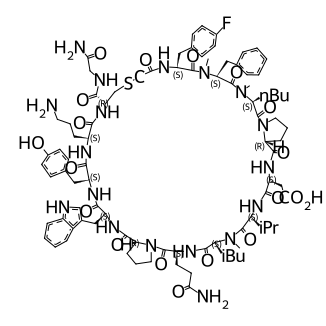 CCCC[C@H]1C(=O)N2CCC[C@@H]2C(=O)N[C@@H](CC(=O)O)C(=O)N[C@@H](C(C)C)C(=O)N(C)[C@@H](C(C)CC)C(=O)N[C@@H](CCC(N)=O)C(=O)N2CCC[C@@H]2C(=O)N[C@@H](Cc2c[nH]c3ccccc23)C(=O)N[C@@H](Cc2ccc(O)cc2)C(=O)N[C@@H](CCCN)C(=O)N[C@H](C(=O)NCC(N)=O)CSCC(=O)N[C@@H](Cc2ccc(F)cc2)C(=O)N(C)[C@@H](Cc2ccccc2)C(=O)N1C